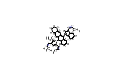 C/C=C\c1cc(/C=C\C)n(-c2c3ccccc3c(-n3cc(/C=C\C)c4ccccc43)c3cc4c(cc23)CCCC4)c1C